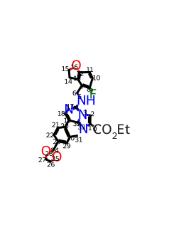 CCOC(=O)c1cn2c(NCc3c(F)ccc4c3CCO4)ncc(-c3ccc(C4OCCO4)cc3C)c2n1